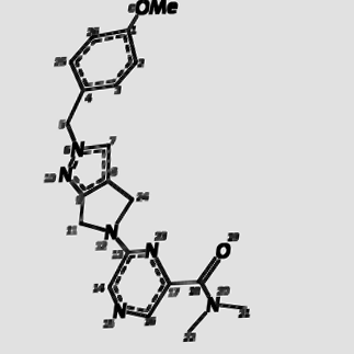 COc1ccc(Cn2cc3c(n2)CN(c2cncc(C(=O)N(C)C)n2)C3)cc1